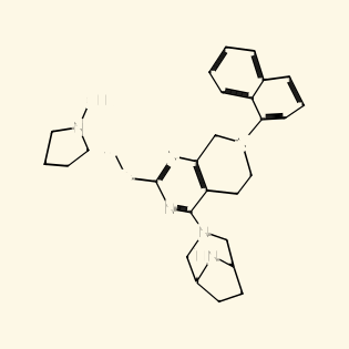 CN1CCC[C@H]1COc1nc2c(c(N3CC4CCC(C3)N4)n1)CCN(c1cccc3ccccc13)C2